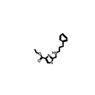 CCOC(=O)c1csc(CNCCCc2ccccc2)n1